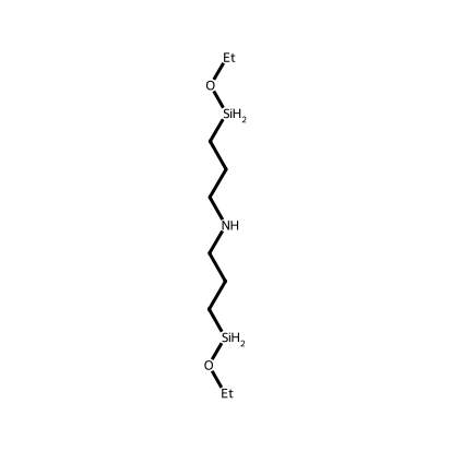 CCO[SiH2]CCCNCCC[SiH2]OCC